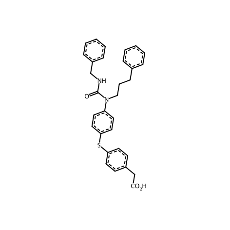 O=C(O)Cc1ccc(Sc2ccc(N(CCCc3ccccc3)C(=O)NCc3ccccc3)cc2)cc1